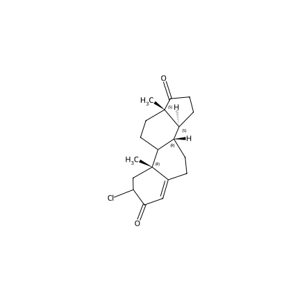 C[C@]12CC(Cl)C(=O)C=C1CC[C@@H]1C2CC[C@]2(C)C(=O)CC[C@@H]12